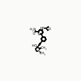 C=C1N(C)CC[C@@]1(O)C#Cc1cccc(-c2cc(NC3COC3)cc(C(N)=O)n2)c1